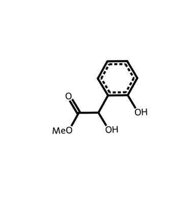 COC(=O)C(O)c1ccccc1O